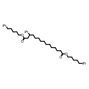 CC(C)CCCCCOC(=O)CCCCCCCCCCCC(CC(=O)OCCCCCC(C)C)C(C)C